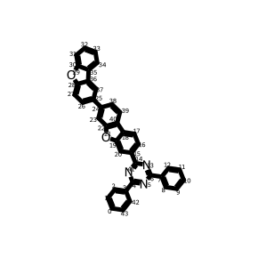 c1ccc(-c2nc(-c3ccccc3)nc(-c3ccc4c(c3)oc3cc(-c5ccc6oc7ccccc7c6c5)ccc34)n2)cc1